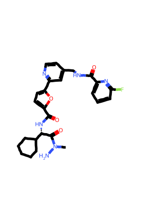 CN(N)C(=O)[C@@H](NC(=O)c1ccc(-c2cc(CNC(=O)c3cccc(F)n3)ccn2)o1)C1CCCCC1